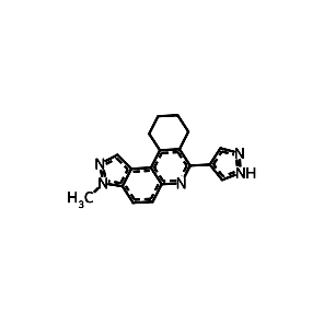 Cn1ncc2c3c4c(c(-c5cn[nH]c5)nc3ccc21)CCCC4